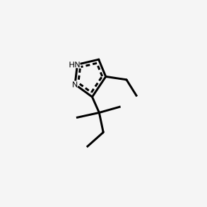 CCc1c[nH]nc1C(C)(C)CC